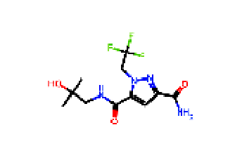 CC(C)(O)CNC(=O)c1[c]c(C(N)=O)nn1CC(F)(F)F